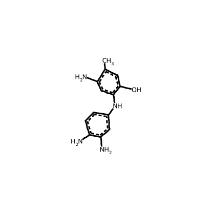 Cc1cc(O)c(Nc2ccc(N)c(N)c2)cc1N